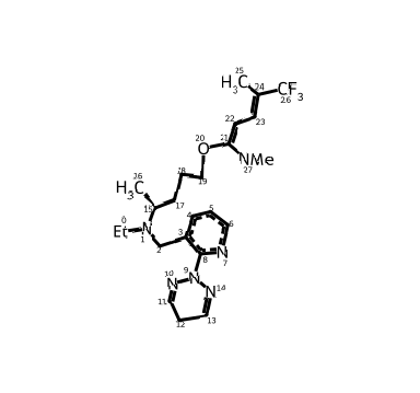 CCN(Cc1cccnc1N1N=CCC=N1)[C@@H](C)CCCO/C(=C/C=C(\C)C(F)(F)F)NC